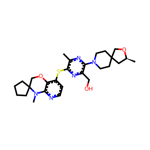 Cc1nc(N2CCC3(CC2)CO[C@@H](C)C3)c(CO)nc1Sc1ccnc2c1OCC1(CCCC1)N2C